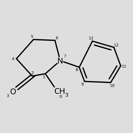 CC1C(=O)CCCN1c1ccccc1